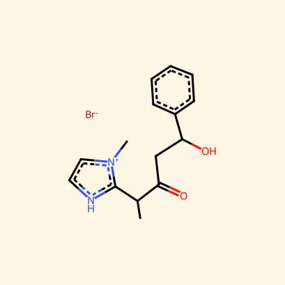 CC(C(=O)CC(O)c1ccccc1)c1[nH]cc[n+]1C.[Br-]